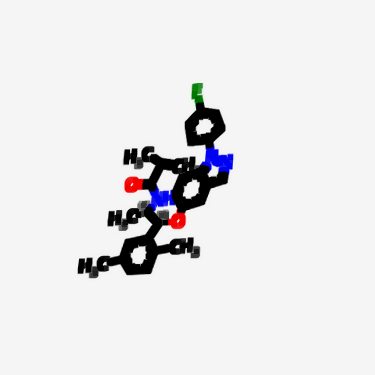 C=C(C)C(=O)N[C@@H](C)[C@H](Oc1ccc2c(cnn2-c2ccc(F)cc2)c1)c1cc(C)ccc1C